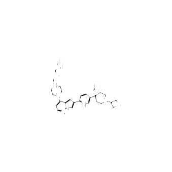 CCOC1(c2ccc(-c3cc4c(N5CCN(COCNC(C)C)CC5)ccnn4c3)nc2)CCN(C2COC2)CC1